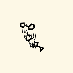 Brc1cnc(Nc2ccccc2N2C=CCC2)nc1Nc1cc(C2CC2)[nH]n1